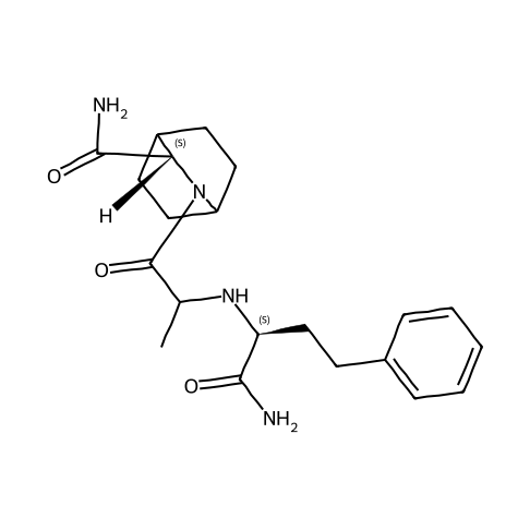 CC(N[C@@H](CCc1ccccc1)C(N)=O)C(=O)N1C2CCC(CC2)[C@H]1C(N)=O